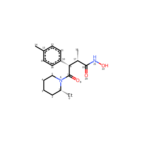 CC[C@@H]1CCCCN1C(=O)[C@H](c1ccc(C)cc1)[C@H](C)C(=O)NO